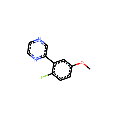 COc1ccc(F)c(-c2cnccn2)c1